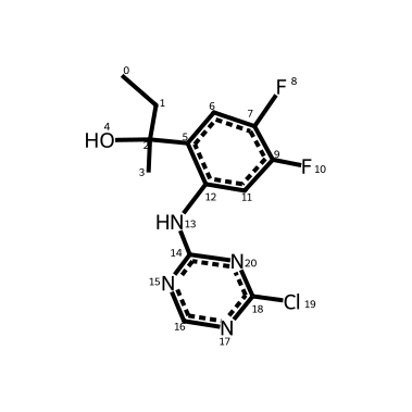 CCC(C)(O)c1cc(F)c(F)cc1Nc1ncnc(Cl)n1